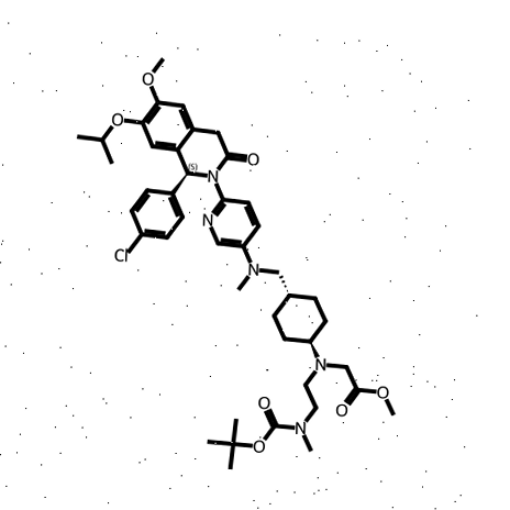 COC(=O)CN(CCN(C)C(=O)OC(C)(C)C)[C@H]1CC[C@H](CN(C)c2ccc(N3C(=O)Cc4cc(OC)c(OC(C)C)cc4[C@@H]3c3ccc(Cl)cc3)nc2)CC1